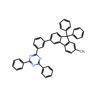 N#Cc1ccc2c(c1)C(c1ccccc1)(c1ccccc1)c1ccc(-c3cccc(-c4nc(-c5ccccc5)nc(-c5ccccc5)n4)c3)cc1-2